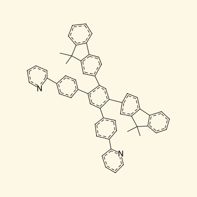 CC1(C)c2ccccc2-c2ccc(-c3cc(-c4ccc5c(c4)C(C)(C)c4ccccc4-5)c(-c4ccc(-c5ccccn5)cc4)cc3-c3ccc(-c4ccccn4)cc3)cc21